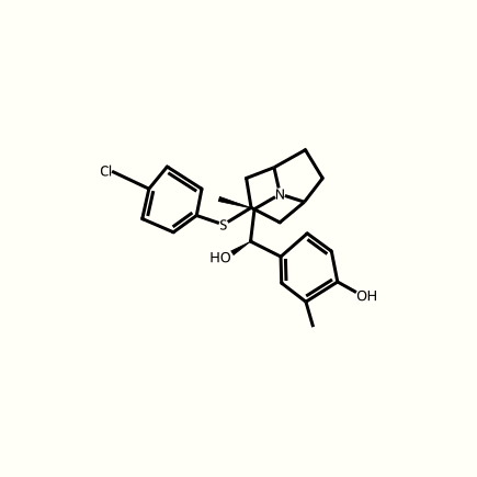 Cc1cc([C@@H](O)[C@@H](C)N2C3CCC2CC(Sc2ccc(Cl)cc2)C3)ccc1O